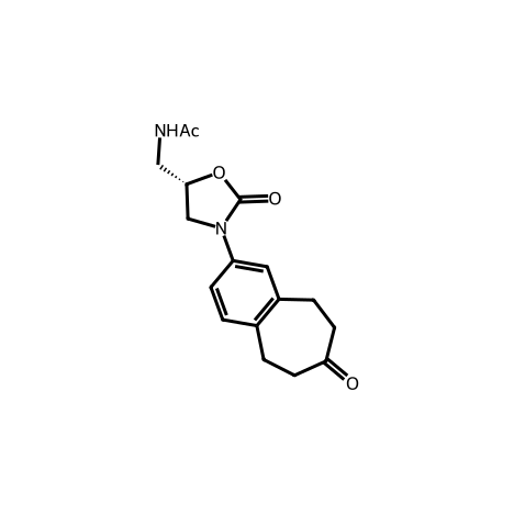 CC(=O)NC[C@H]1CN(c2ccc3c(c2)CCC(=O)CC3)C(=O)O1